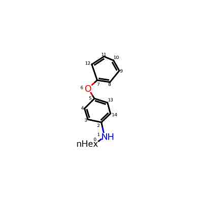 CCCCCCNc1ccc(Oc2ccccc2)cc1